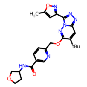 Cc1cc(-c2nnc3cc(C(C)(C)C)c(OCc4ccc(C(=O)NC5CCOC5)cn4)nn23)no1